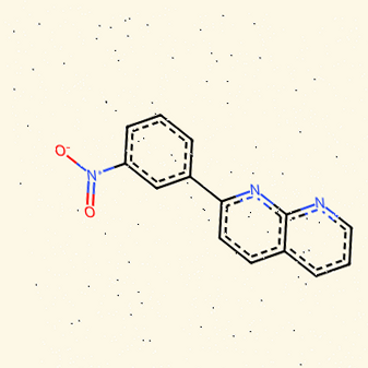 O=[N+]([O-])c1cccc(-c2ccc3cccnc3n2)c1